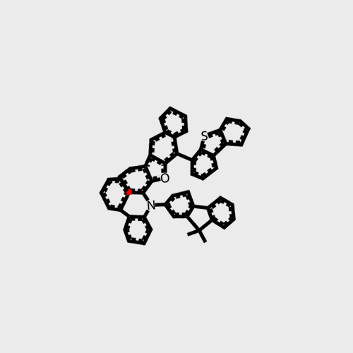 CC1(C)c2ccccc2-c2ccc(N(c3ccccc3-c3ccccc3)c3cccc4c3oc3c(-c5cccc6c5sc5ccccc56)c5ccccc5cc34)cc21